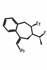 CC[C@@H]1Cc2ccccc2/C(=C/C(C)C)C[C@@H]1[C@H](C)F